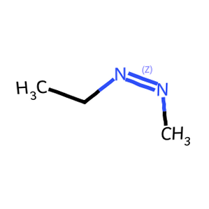 CC/N=N\C